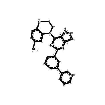 Nc1ccc2c(c1)N(c1nc(-c3cccc(-c4cccnc4)c3)nc3cn[nH]c13)CCO2